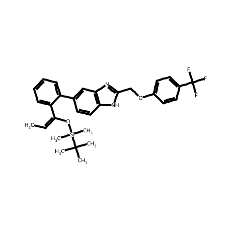 C/C=C(/O[Si](C)(C)C(C)(C)C)c1ccccc1-c1ccc2[nH]c(COc3ccc(C(F)(F)F)cc3)nc2c1